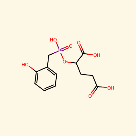 O=C(O)CCC(OP(=O)(O)Cc1ccccc1O)C(=O)O